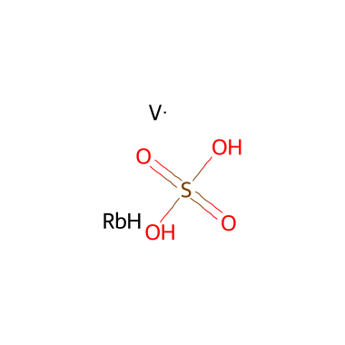 O=S(=O)(O)O.[RbH].[V]